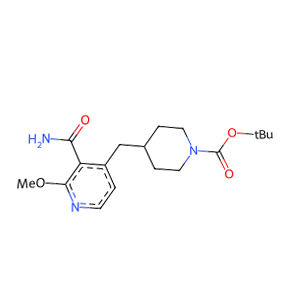 COc1nccc(CC2CCN(C(=O)OC(C)(C)C)CC2)c1C(N)=O